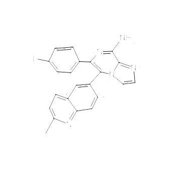 Cc1ccc2cc(-c3c(-c4ccc(F)cc4)nc(N)c4nccn34)ccc2n1